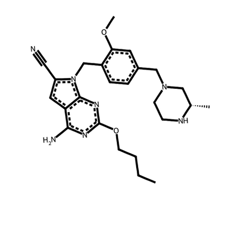 CCCCOc1nc(N)c2cc(C#N)n(Cc3ccc(CN4CCN[C@@H](C)C4)cc3OC)c2n1